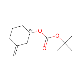 C=C1CCC[C@H](OC(=O)OC(C)(C)C)C1